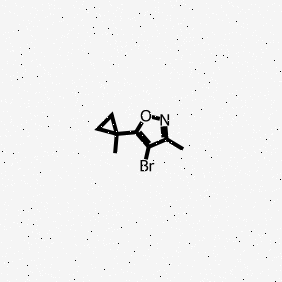 Cc1noc(C2(C)CC2)c1Br